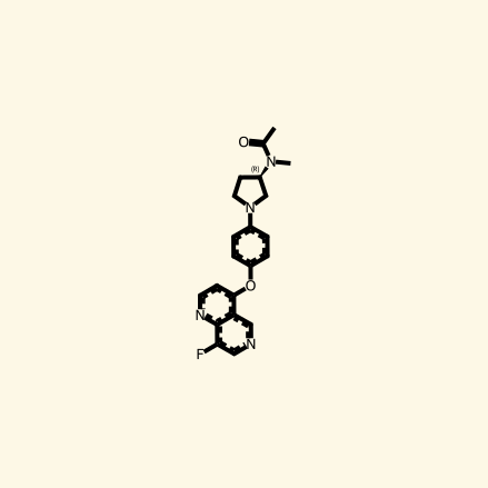 CC(=O)N(C)[C@@H]1CCN(c2ccc(Oc3ccnc4c(F)cncc34)cc2)C1